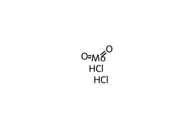 Cl.Cl.[O]=[Mo]=[O]